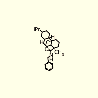 CC(C)C1CC[C@H]2C(CCC3[C@](C)(C(=O)NCc4ccccc4)CCC[C@@]32C)C1